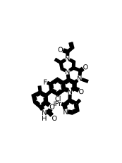 C=CC(=O)N1CC2C(=O)N(C)c3c(c4cc(F)c(-c5c(C)ccc6[nH]c(=O)oc56)c(Cl)c4n(-c4c(C)ccnc4C(C)C)c3=O)N2CC1C